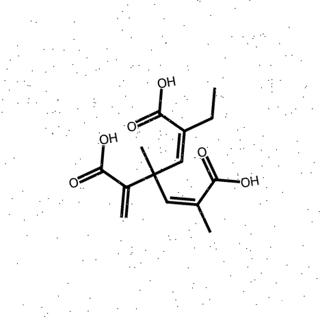 C=C(C(=O)O)C(C)(C=C(C)C(=O)O)C=C(CC)C(=O)O